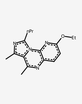 CCCc1nc(C)c2c(C)nc3ccc(OCC)nc3n12